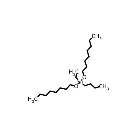 CCCCCCCC[O][Sn]([CH2]C)([CH2]CCC)[O]CCCCCCCC